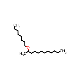 CCCCCCCCCCC(C)OCCCCCCCC